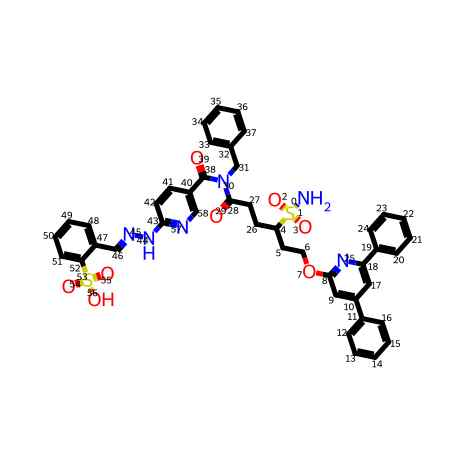 NS(=O)(=O)C(CCOc1cc(-c2ccccc2)cc(-c2ccccc2)n1)CCC(=O)N(Cc1ccccc1)C(=O)c1ccc(NN=Cc2ccccc2S(=O)(=O)O)nc1